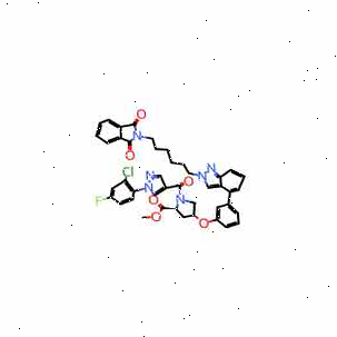 COC(=O)[C@@H]1C[C@H](Oc2cccc(-c3cccc4nn(CCCCCCN5C(=O)c6ccccc6C5=O)cc34)c2)CN1C(=O)c1cnn(-c2ccc(F)cc2Cl)c1